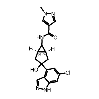 Cn1cc(C(=O)NC2[C@H]3CC(O)(c4cc(Cl)cc5[nH]ncc45)C[C@@H]23)cn1